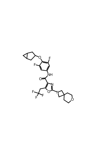 O=C(Nc1cc(F)c(OC2CC3CC3C2)c(F)c1)c1nc(N2CC3(CCOCC3)C2)oc1CC(F)(F)F